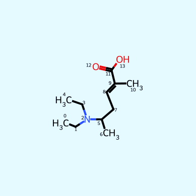 CCN(CC)C(C)C/C=C(\C)C(=O)O